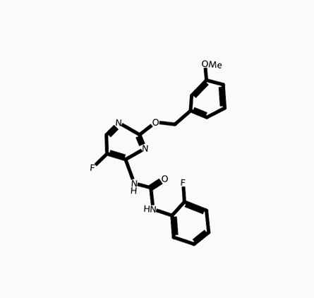 COc1cccc(COc2ncc(F)c(NC(=O)Nc3ccccc3F)n2)c1